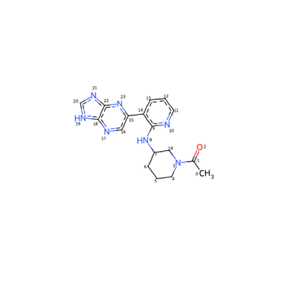 CC(=O)N1CCCC(Nc2ncccc2-c2cnc3[nH]cnc3n2)C1